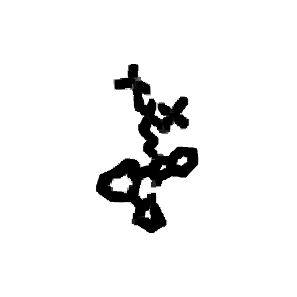 C[Si](C)(C)O[Si](C)(CCCn1c(-c2ccccc2-c2nccs2)nc2ccccc21)O[Si](C)(C)C